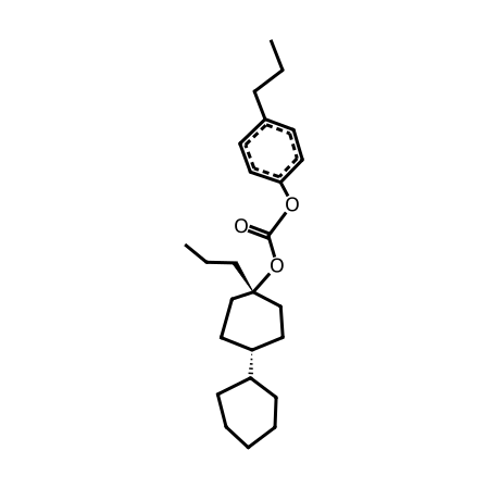 CCCc1ccc(OC(=O)O[C@]2(CCC)CC[C@H](C3CCCCC3)CC2)cc1